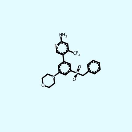 Nc1cc(C(F)(F)F)c(-c2cc(N3CCOCC3)cc(S(=O)(=O)Cc3ccccc3)c2)cn1